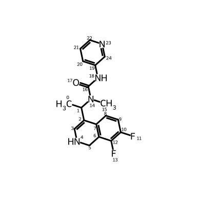 CC(C1=CNCc2c1ccc(F)c2F)N(C)C(=O)Nc1cccnc1